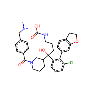 CNCc1ccc(C(=O)N2CCCC(C(O)(CCCNC(=O)O)c3cccc(Cl)c3-c3ccc4c(c3)OCC4)C2)cc1